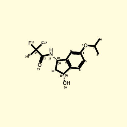 CC(C)Oc1ccc2c(c1)[C@@H](NC(=O)C(F)(F)F)C[C@H]2O